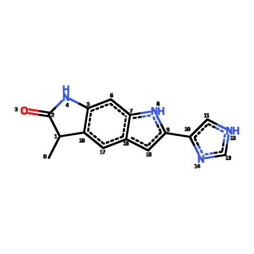 CC1C(=O)Nc2cc3[nH]c(-c4c[nH]cn4)cc3cc21